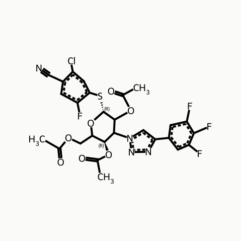 CC(=O)OCC1O[C@H](Sc2cc(Cl)c(C#N)cc2F)C(OC(C)=O)C(n2cc(-c3cc(F)c(F)c(F)c3)nn2)[C@H]1OC(C)=O